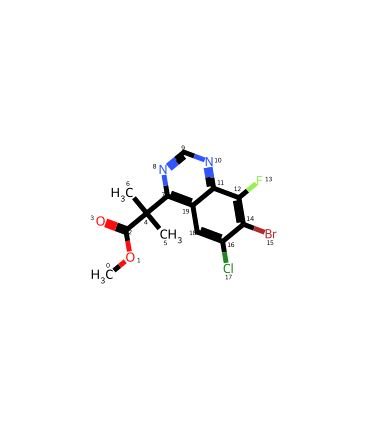 COC(=O)C(C)(C)c1ncnc2c(F)c(Br)c(Cl)cc12